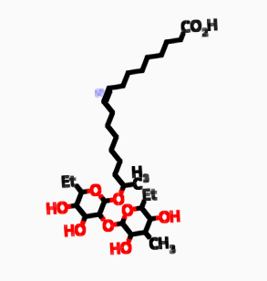 CCC1OC(OC2C(OC(C)CCCCCC/C=C\CCCCCCCC(=O)O)OC(CC)C(O)C2O)C(O)C(C)C1O